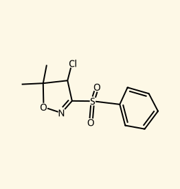 CC1(C)ON=C(S(=O)(=O)c2ccccc2)C1Cl